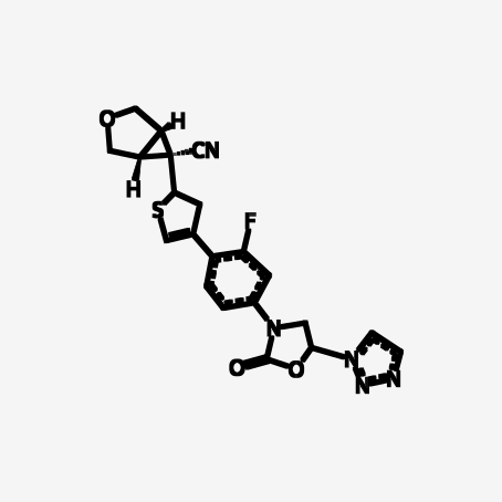 N#C[C@]1(C2CC(c3ccc(N4CC(n5ccnn5)OC4=O)cc3F)=CS2)[C@@H]2COC[C@@H]21